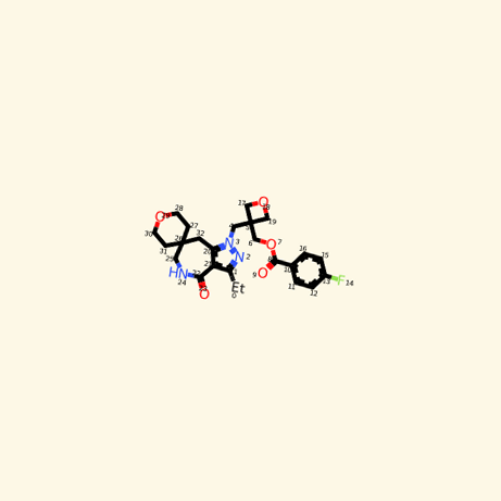 CCc1nn(CC2(COC(=O)c3ccc(F)cc3)COC2)c2c1C(=O)NCC1(CCOCC1)C2